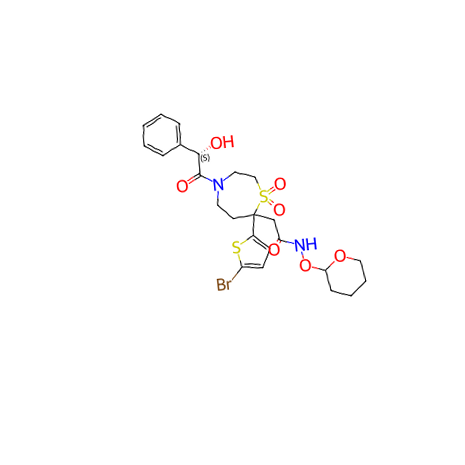 O=C(CC1(c2ccc(Br)s2)CCN(C(=O)[C@@H](O)c2ccccc2)CCS1(=O)=O)NOC1CCCCO1